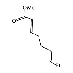 CCC=CCCC=CC(=O)OC